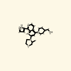 CC1COCCN1c1cc(N2CCC(CO)CC2)c2ccnc(-c3ccn[nH]3)c2n1